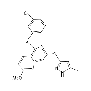 COc1ccc2c(Sc3cccc(Cl)c3)nc(Nc3cc(C)[nH]n3)cc2c1